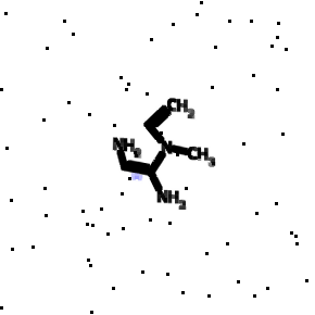 C=CN(C)/C(N)=C\N